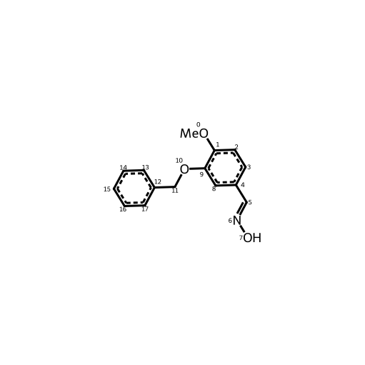 COc1ccc(C=NO)cc1OCc1ccccc1